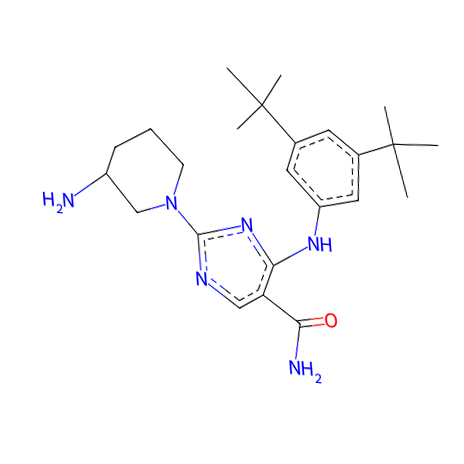 CC(C)(C)c1cc(Nc2nc(N3CCCC(N)C3)ncc2C(N)=O)cc(C(C)(C)C)c1